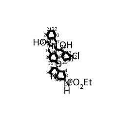 CCOC(=O)Nc1ccc2c(Oc3ccc(C[C@@H](CO)N(Cc4ccccc4)C[C@H](O)c4cccc(Cl)c4)cc3)ccnc2c1